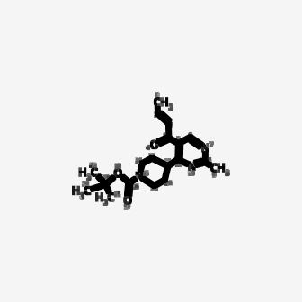 C/C=C/C(=O)c1cnc(C)nc1C1CCN(C(=O)OC(C)(C)C)CC1